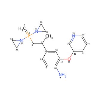 C=P(CC(C)c1ccc(N)c(Oc2cccnc2)c1)(N1CC1)N1CC1